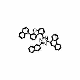 c1ccc2cc(-c3nc(-c4cc5ccccc5c5ccccc45)nc(-c4cccc5oc6c(-c7cccc8ccccc78)cccc6c45)n3)ccc2c1